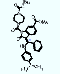 COC(=O)c1ccc2c(c1)N(C(=O)N1CCN(C(=O)OC(C)(C)C)CC1)C(=O)/C2=C(\Nc1ccc(N(C)C)cc1)c1ccccc1